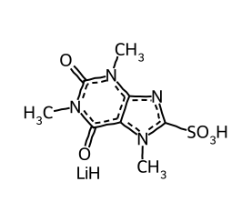 Cn1c(=O)c2c(nc(S(=O)(=O)O)n2C)n(C)c1=O.[LiH]